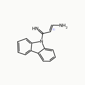 N=C(/C=C/N)n1c2ccccc2c2ccccc21